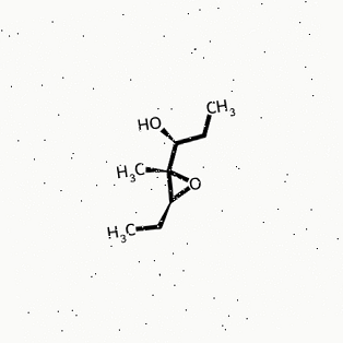 CC[C@@H]1O[C@@]1(C)[C@@H](O)CC